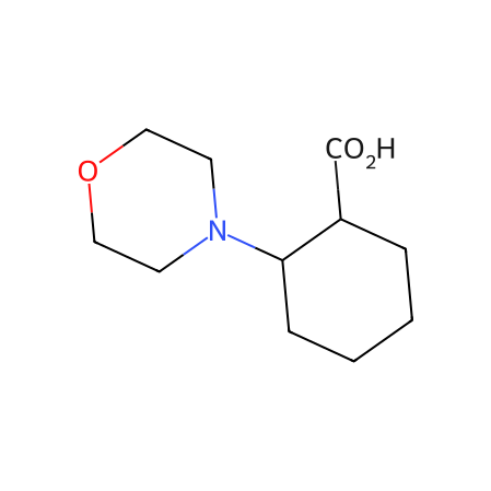 O=C(O)C1CCCCC1N1CCOCC1